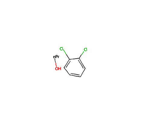 CCCO.Clc1ccccc1Cl